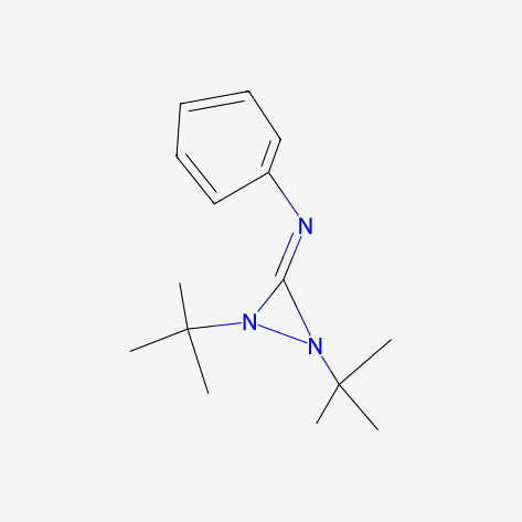 CC(C)(C)N1C(=Nc2ccccc2)N1C(C)(C)C